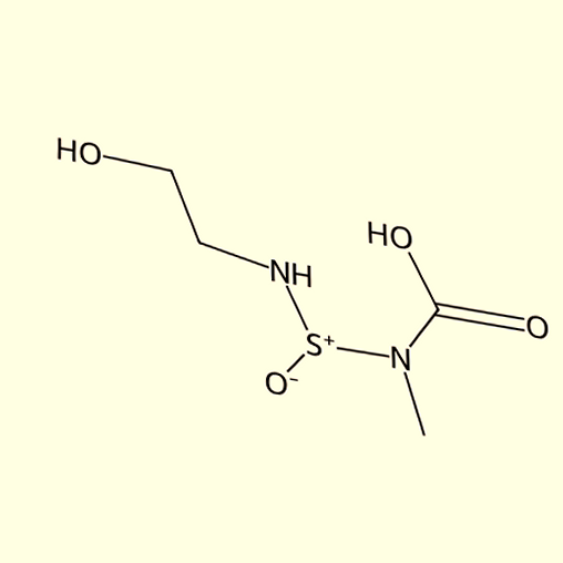 CN(C(=O)O)[S+]([O-])NCCO